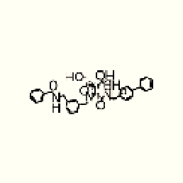 C[C@@H](O)[C@H]1[C@@H](CO)ON(Cc2cccc(CNC(=O)c3ccccc3)c2)[C@H]1C(=O)NCc1ccc(-c2ccccc2)cc1